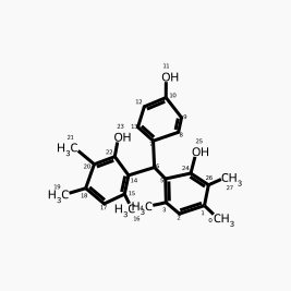 Cc1cc(C)c(C(c2ccc(O)cc2)c2c(C)cc(C)c(C)c2O)c(O)c1C